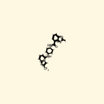 Cc1nc2cccc(C(=O)N[C@H]3CC[C@@H](Nc4cccc5nc(C(F)(F)F)cn45)CC3)c2s1